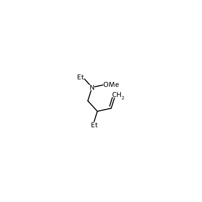 C=CC(CC)CN(CC)OC